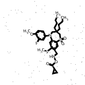 CCCCC1(CCCC)CN(c2ccc(OC)c(F)c2)c2cc(SC)c(CNOC(=O)C3CC3)cc2S(=O)(=O)C1